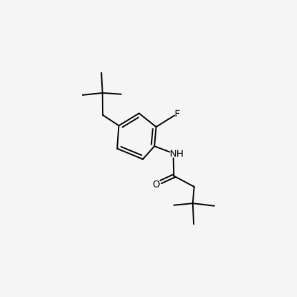 CC(C)(C)CC(=O)Nc1ccc(CC(C)(C)C)cc1F